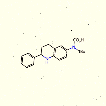 CC(C)(C)N(C(=O)O)c1ccc2c(c1)CCC(c1ccccc1)N2